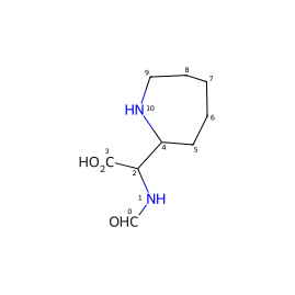 O=CNC(C(=O)O)C1CCCCCN1